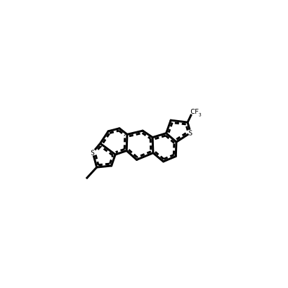 Cc1cc2c(ccc3cc4c(ccc5sc(C(F)(F)F)cc54)cc32)s1